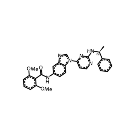 COc1cccc(OC)c1C(=O)Nc1ccc2c(c1)ncn2-c1ccnc(N[C@@H](C)c2ccccc2)n1